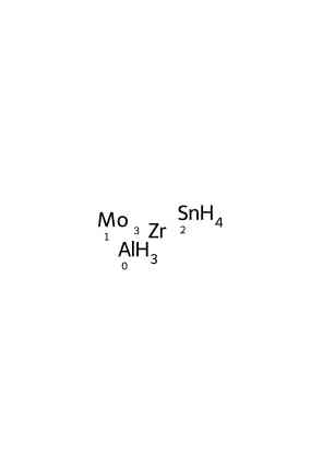 [AlH3].[Mo].[SnH4].[Zr]